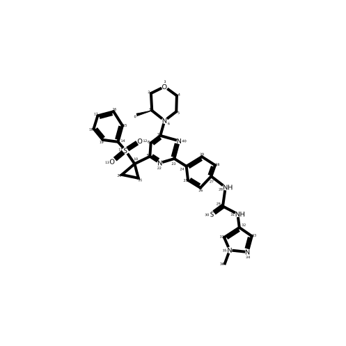 C[C@H]1COCCN1c1cc(C2(S(=O)(=O)c3ccccc3)CC2)nc(-c2ccc(NC(=S)Nc3cnn(C)c3)cc2)n1